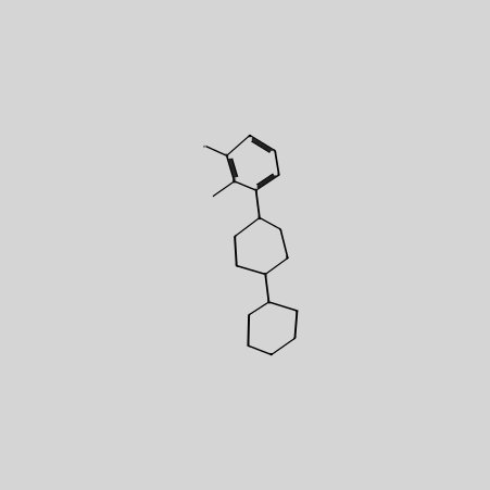 Fc1c(Cl)cccc1C1CCC(C2CCCCC2)CC1